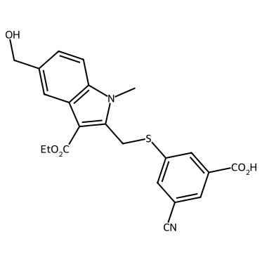 CCOC(=O)c1c(CSc2cc(C#N)cc(C(=O)O)c2)n(C)c2ccc(CO)cc12